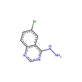 NNc1ncnc2ccc(Br)cc12